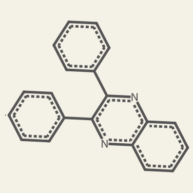 [c]1ccc(-c2nc3ccccc3nc2-c2ccccc2)cc1